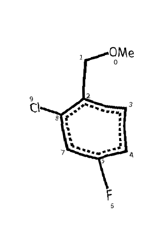 COCc1ccc(F)cc1Cl